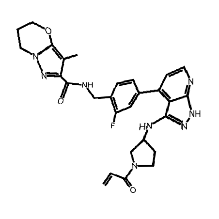 C=CC(=O)N1CCC(Nc2n[nH]c3nccc(-c4ccc(CNC(=O)c5nn6c(c5C)OCCC6)c(F)c4)c23)C1